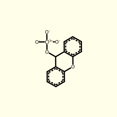 [O-][Cl+3]([O-])([O-])OC1c2ccccc2Oc2ccccc21